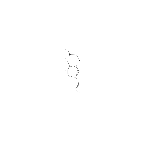 C/C(=C\C(=O)O)c1cnc2c(c1)CCC(=O)N2.Cl